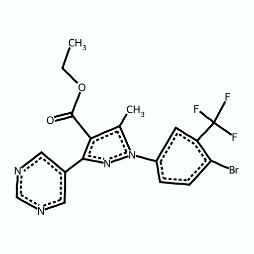 CCOC(=O)c1c(-c2cncnc2)nn(-c2ccc(Br)c(C(F)(F)F)c2)c1C